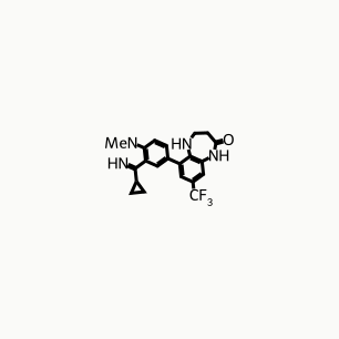 CNc1ccc(-c2cc(C(F)(F)F)cc3c2NCCC(=O)N3)cc1C(=N)C1CC1